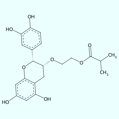 CC(C)C(=O)OCCO[C@@H]1Cc2c(O)cc(O)cc2O[C@@H]1c1ccc(O)c(O)c1